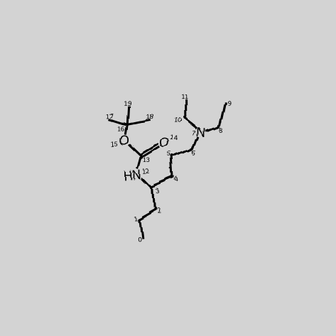 CCCC(CCCN(CC)CC)NC(=O)OC(C)(C)C